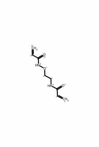 C=CC(=O)NCCONC(=O)C=C